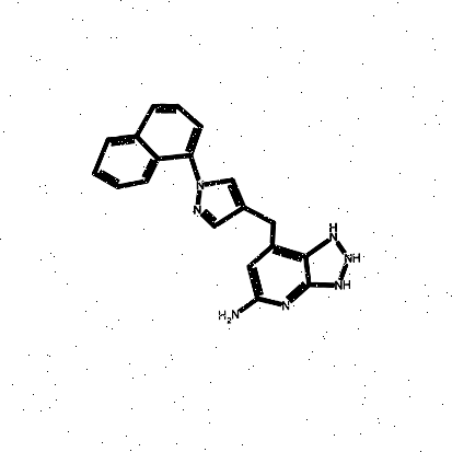 Nc1cc(Cc2cnn(-c3cccc4ccccc34)c2)c2c(n1)NNN2